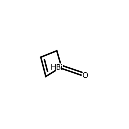 [O]=[BiH]1[CH]=C[CH2]1